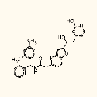 Cc1ccc(C(NC(=O)Cc2ccc3oc(C(O)Cc4ccnc(O)c4)cc3n2)c2ccccc2)c(C)c1